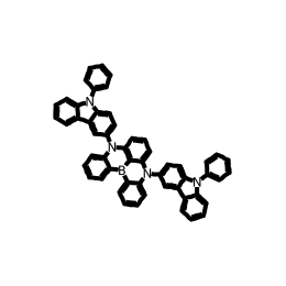 c1ccc(-n2c3ccccc3c3cc(N4c5ccccc5B5c6ccccc6N(c6ccc7c(c6)c6ccccc6n7-c6ccccc6)c6cccc4c65)ccc32)cc1